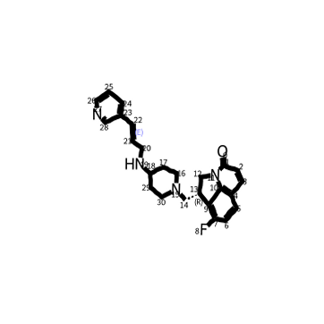 O=c1ccc2ccc(F)c3c2n1C[C@H]3CN1CCC(NC/C=C/c2cccnc2)CC1